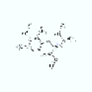 C=C(/C=C(\Nc1ccc(C)c(OC)c1C)C(=O)OC)OC